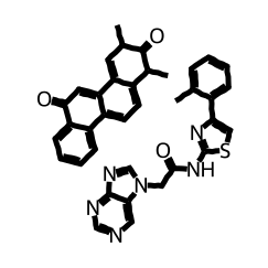 CC1C=c2c(ccc3c2=CC(=O)c2ccccc2-3)C(C)C1=O.Cc1ccccc1-c1csc(NC(=O)Cn2cnc3ncncc32)n1